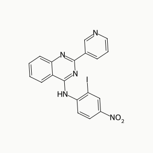 O=[N+]([O-])c1ccc(Nc2nc(-c3cccnc3)nc3ccccc23)c(I)c1